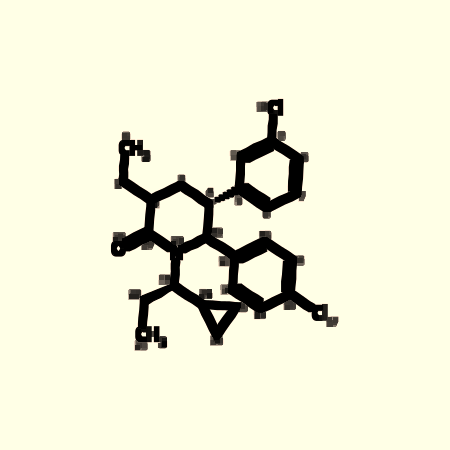 CCC1C[C@H](c2cccc(Cl)c2)C(c2ccc(Cl)cc2)N([C@H](CC)C2CC2)C1=O